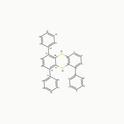 c1ccc(-c2cccc3c2Sc2c(-c4ccccc4)ccc(-c4ccccc4)c2S3)cc1